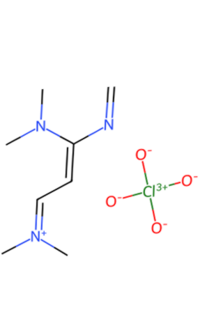 C=NC(=CC=[N+](C)C)N(C)C.[O-][Cl+3]([O-])([O-])[O-]